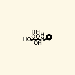 OC[C@H](O)[C@H](O)[C@@H](O)CNCc1ccccc1